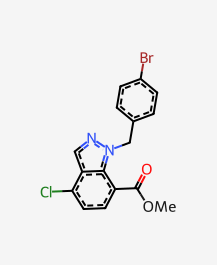 COC(=O)c1ccc(Cl)c2cnn(Cc3ccc(Br)cc3)c12